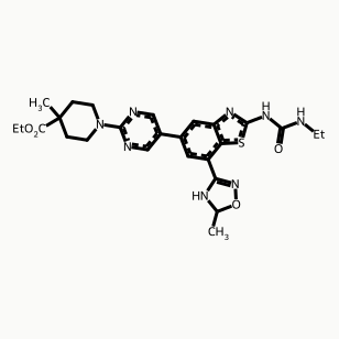 CCNC(=O)Nc1nc2cc(-c3cnc(N4CCC(C)(C(=O)OCC)CC4)nc3)cc(C3=NOC(C)N3)c2s1